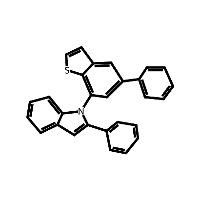 c1ccc(-c2cc(-n3c(-c4ccccc4)cc4ccccc43)c3sccc3c2)cc1